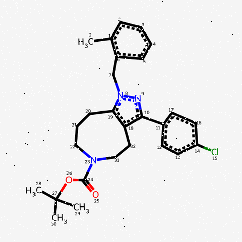 Cc1ccccc1Cn1nc(-c2ccc(Cl)cc2)c2c1CCCN(C(=O)OC(C)(C)C)CC2